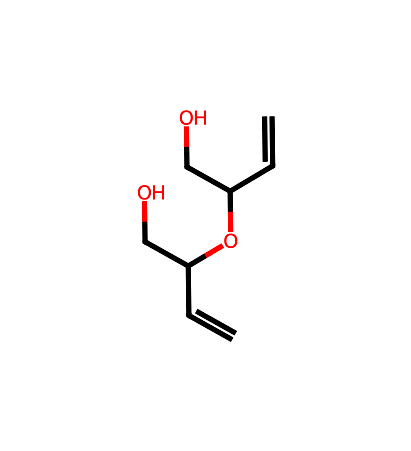 C=CC(CO)OC(C=C)CO